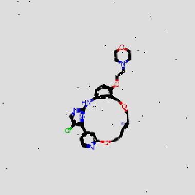 Clc1cnc2nc1-c1ccnc(c1)OCC/C=C/COCc1cc(ccc1OCCN1CCOCC1)N2